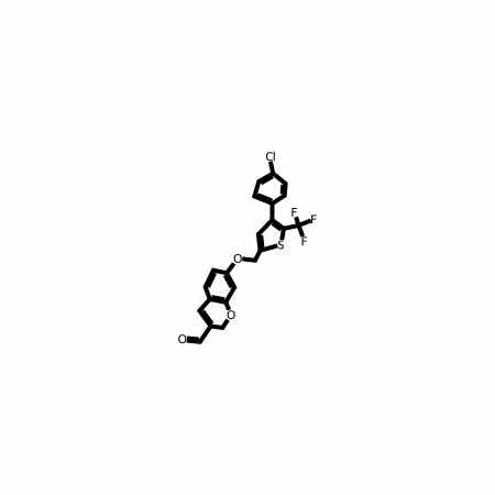 O=CC1=Cc2ccc(OCc3cc(-c4ccc(Cl)cc4)c(C(F)(F)F)s3)cc2OC1